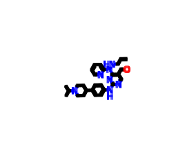 C=CCNN(c1ccccn1)c1nc(Nc2ccc(C3CCN(C(C)C)CC3)cc2)ncc1C=O